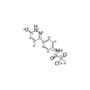 Cc1cc(=O)[nH]nc1-c1ccc(NC(=O)C(C)(Cl)Cl)cc1